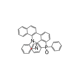 O=P(c1ccccc1)(c1ccccc1)c1cccc2c3ccc4ccccc4c3n3c4ccccc4nc3c12